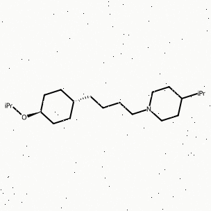 CC(C)O[C@H]1CC[C@H](CCCCN2CCC(C(C)C)CC2)CC1